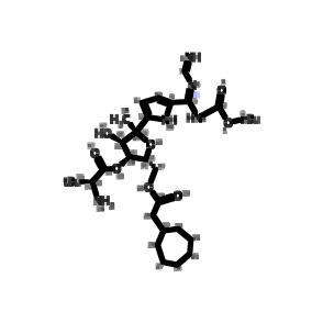 CCCCOC(=O)N/C(=N/C=N)c1ccc([C@]2(C)O[C@H](COC(=O)CC3CCCCCC3)[C@@H](OC(=O)[C@@H](N)C(C)(C)C)[C@H]2O)[nH]1